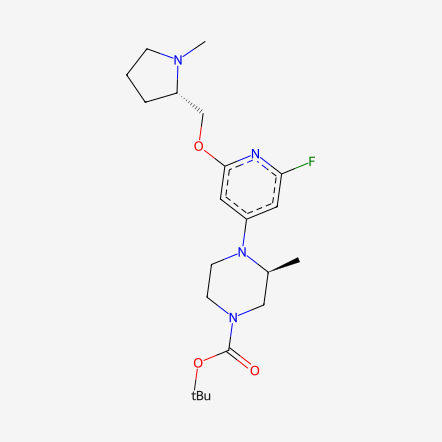 C[C@H]1CN(C(=O)OC(C)(C)C)CCN1c1cc(F)nc(OC[C@@H]2CCCN2C)c1